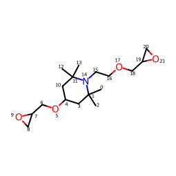 CC1(C)CC(OCC2CO2)CC(C)(C)N1CCOCC1CO1